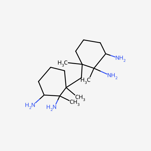 CC1(CC2(C)CCCC(N)C2(C)N)CCCC(N)C1(C)N